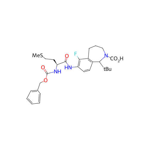 CSCC[C@H](NC(=O)OCc1ccccc1)C(=O)Nc1ccc2c(c1F)CCCN(C(=O)O)C2C(C)(C)C